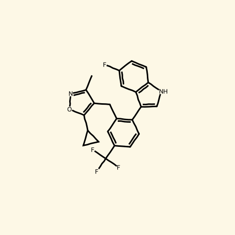 Cc1noc(C2CC2)c1Cc1cc(C(F)(F)F)ccc1-c1c[nH]c2ccc(F)cc12